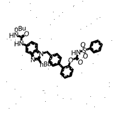 CCCCNC(=O)Nc1ccc2c(c1)nc(CCCC)n2Cc1ccc(-c2ccccc2OC(=O)NS(=O)(=O)c2ccccc2)cc1